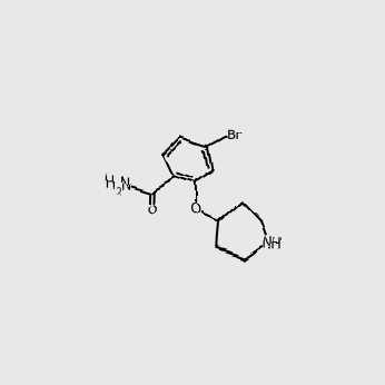 NC(=O)c1ccc(Br)cc1OC1CCNCC1